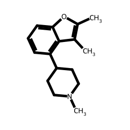 Cc1oc2cccc(C3CCN(C)CC3)c2c1C